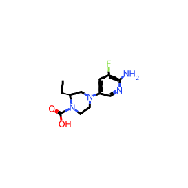 CC[C@H]1CN(c2cnc(N)c(F)c2)CCN1C(=O)O